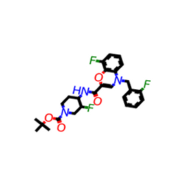 CC(C)(C)OC(=O)N1CCC(NC(=O)C2=CN(Cc3ccccc3F)c3cccc(F)c3O2)C(F)C1